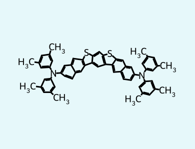 Cc1cc(C)cc(N(c2cc(C)cc(C)c2)c2ccc3cc4c(cc3c2)sc2cc3sc5cc6cc(N(c7cc(C)cc(C)c7)c7cc(C)cc(C)c7)ccc6cc5c3cc24)c1